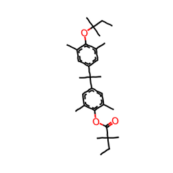 CCC(C)(C)Oc1c(C)cc(C(C)(C)c2cc(C)c(OC(=O)C(C)(C)CC)c(C)c2)cc1C